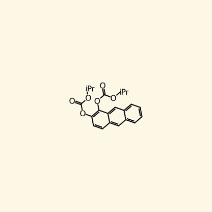 CC(C)OC(=O)Oc1ccc2cc3ccccc3cc2c1OC(=O)OC(C)C